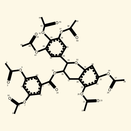 CC(=O)Oc1cc(OC(C)=O)cc(C(=O)OC2Cc3c(OC(C)=O)cc(OC(C)=O)cc3OC2c2cc(OC(C)=O)c(OC(C)=O)c(OC(C)=O)c2)c1